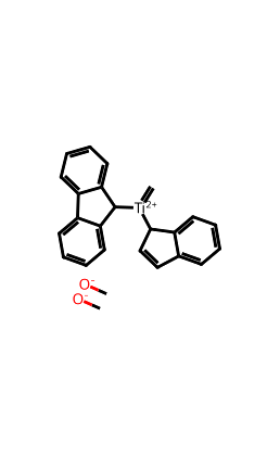 C[O-].C[O-].[CH2]=[Ti+2]([CH]1C=Cc2ccccc21)[CH]1c2ccccc2-c2ccccc21